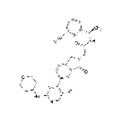 C[C@@H](NC(=O)CN1Cc2ccc(-c3nc(NC4CCOCC4)ncc3Cl)cc2C1=O)c1cccc(C#N)n1